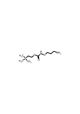 CS(C)(C)CCOC(=O)NOCCCN